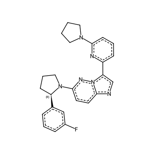 Fc1cccc([C@H]2CCCN2c2ccc3ncc(-c4cccc(N5CCCC5)n4)n3n2)c1